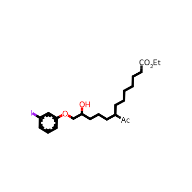 CCOC(=O)CCCCCCC(CCCC(O)COc1cccc(I)c1)C(C)=O